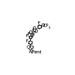 CCCCCC1COC(c2ccc(-c3cc(F)c(C(F)(F)OC4COC(c5ccc(OC(F)(F)F)c(F)c5)OC4)c(F)c3)c(F)c2)OC1